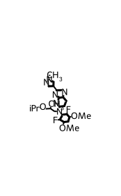 COc1cc(OC)c(F)c(N(CC(C)COC(C)C)c2ccc3ncc(-c4cnn(C)c4)nc3n2)c1F